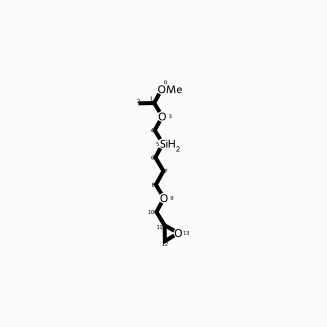 COC(C)OC[SiH2]CCCOCC1CO1